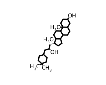 CC1(C)CCC(C[C@H](O)C[C@H]2CCC3C4CCC5CC(O)CCC5(C)C4CC[C@@]32C)CC1